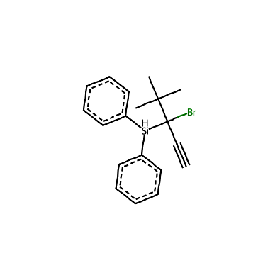 C#CC(Br)([SiH](c1ccccc1)c1ccccc1)C(C)(C)C